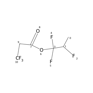 CC(F)C(F)(F)OC(=O)CC(F)(F)F